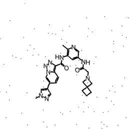 Cc1ncc(NC(=O)CN2CC3(CCC3)C2)cc1NC(=O)c1nnn2cc(-c3cnn(C)c3)ccc12